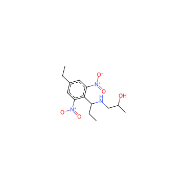 CCc1cc([N+](=O)[O-])c(C(CC)NCC(C)O)c([N+](=O)[O-])c1